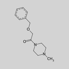 CN1CCN(C(=O)COCc2ccccc2)CC1